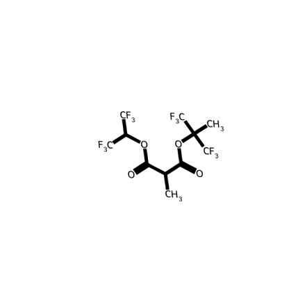 CC(C(=O)OC(C(F)(F)F)C(F)(F)F)C(=O)OC(C)(C(F)(F)F)C(F)(F)F